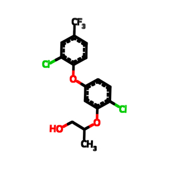 CC(CO)Oc1cc(Oc2ccc(C(F)(F)F)cc2Cl)ccc1Cl